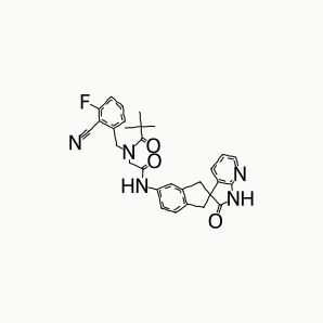 CC(C)(C)C(=O)N(CC(=O)Nc1ccc2c(c1)CC1(C2)C(=O)Nc2ncccc21)Cc1cccc(F)c1C#N